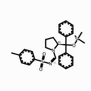 Cc1ccc(S(=O)(=O)/N=C\N2CCC[C@H]2C(O[Si](C)(C)C)(c2ccccc2)c2ccccc2)cc1